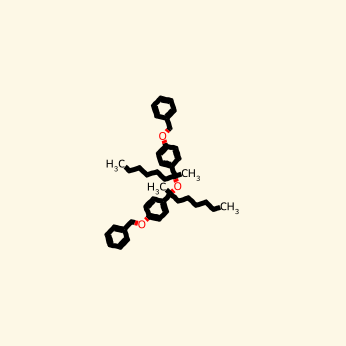 CCCCCCC(C)(OC(C)(CCCCCC)c1ccc(OCc2ccccc2)cc1)c1ccc(OCc2ccccc2)cc1